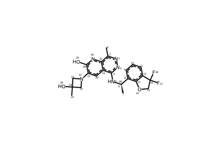 Cc1nnc(N[C@H](C)c2cccc3c2OCC3(F)F)c2cc(N3CC(C)(O)C3)c(O)nc12